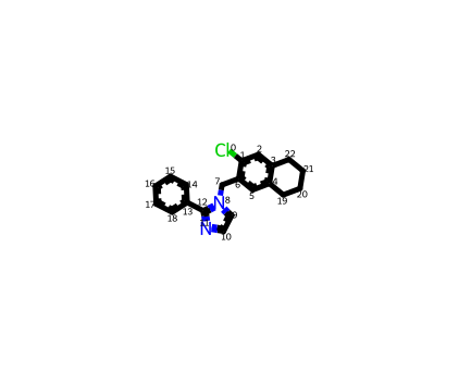 Clc1cc2c(cc1Cn1ccnc1-c1ccccc1)CCCC2